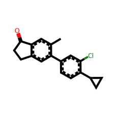 Cc1cc2c(cc1-c1ccc(C3CC3)c(Cl)c1)CCC2=O